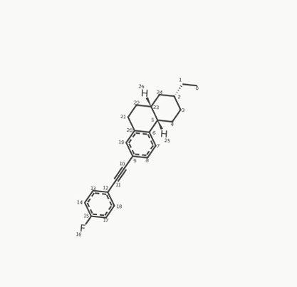 CC[C@@H]1CC[C@@H]2c3ccc(C#Cc4ccc(F)cc4)cc3CC[C@@H]2C1